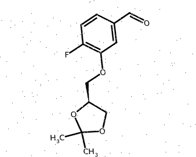 CC1(C)OC[C@H](COc2cc(C=O)ccc2F)O1